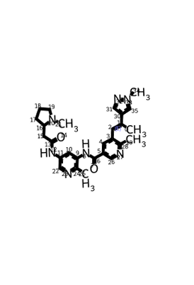 C/C(=C\c1cc(C(=O)Nc2cc(NC(=O)CC3CCCN3C)cnc2C)cnc1C)c1cnn(C)c1